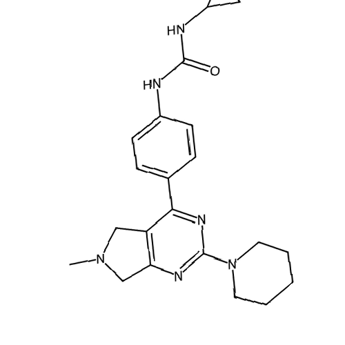 CN1Cc2nc(N3CCCCC3)nc(-c3ccc(NC(=O)NC4CC4)cc3)c2C1